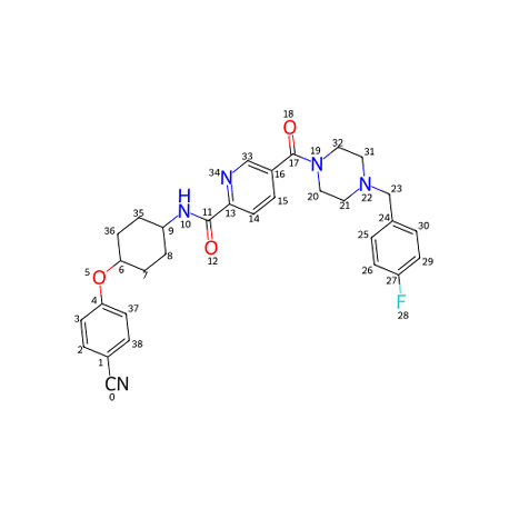 N#Cc1ccc(OC2CCC(NC(=O)c3ccc(C(=O)N4CCN(Cc5ccc(F)cc5)CC4)cn3)CC2)cc1